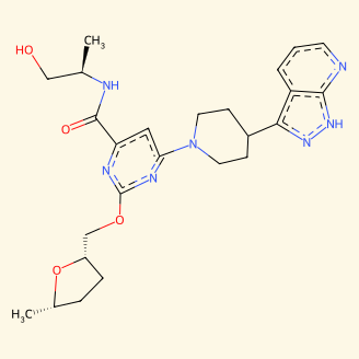 C[C@H](CO)NC(=O)c1cc(N2CCC(c3n[nH]c4ncccc34)CC2)nc(OC[C@@H]2CC[C@H](C)O2)n1